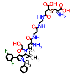 CC(C)(C)[C@H](c1cc(-c2cc(F)ccc2F)cn1Cc1ccccc1)N(CC[C@H](N)C(=O)NCCC(=O)NCCNC(=O)CC(SC[C@H](N)C(=O)O)C(=O)O)C(=O)CO